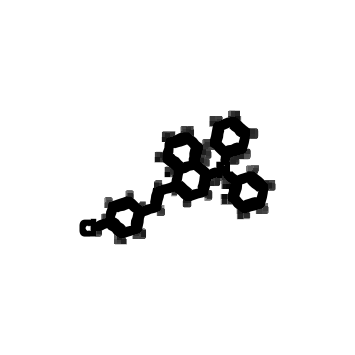 Clc1ccc(C=Cc2ccc(N(c3ccccc3)c3ccccc3)c3ccccc23)cc1